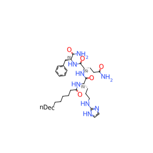 CCCCCCCCCCCCCCCC(=O)N[C@@H](CCCNc1ncc[nH]1)C(=O)N[C@@H](CCC(N)=O)C(=O)N[C@@H](Cc1ccccc1)C(N)=O